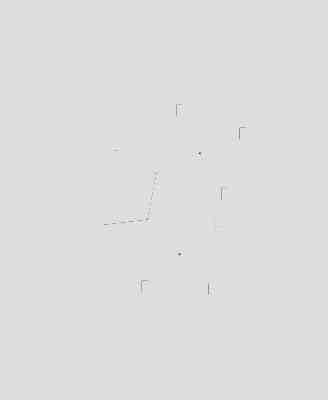 FC(F)(F)C1CCCC1C(F)(F)F